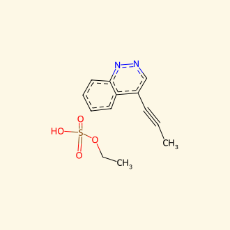 CC#Cc1cnnc2ccccc12.CCOS(=O)(=O)O